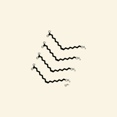 CCCCCCCC/C=C\CCCCCCCC(=O)[O-].CCCCCCCC/C=C\CCCCCCCC(=O)[O-].CCCCCCCC/C=C\CCCCCCCC(=O)[O-].CCCCCCCC/C=C\CCCCCCCC(=O)[O-].[U+4]